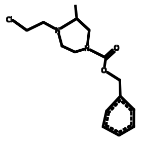 CC1CN(C(=O)OCc2ccccc2)CCN1CCCl